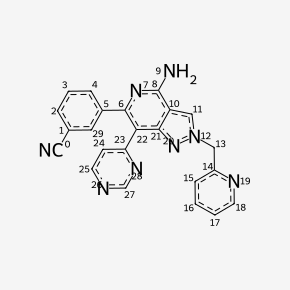 N#Cc1cccc(-c2nc(N)c3cn(Cc4ccccn4)nc3c2-c2ccncn2)c1